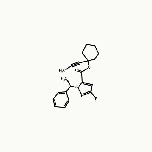 CC#CC1(OC(=O)c2cc(F)nn2[C@H](C)c2ccccc2)CCCCC1